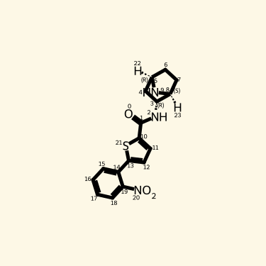 O=C(N[C@@H]1C[C@H]2CC[C@@H]1N2)c1ccc(-c2ccccc2[N+](=O)[O-])s1